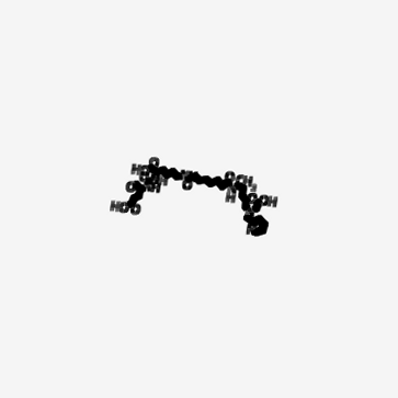 CC(CCCCN(CC(=O)O)Cc1ccccn1)NC(=O)CCCCCCC(=O)NCCCCC(NC(=O)NC(C=O)CCC(=O)O)C(=O)O